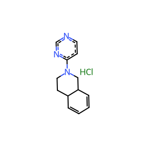 C1=CC2CCN(c3ccncn3)CC2C=C1.Cl